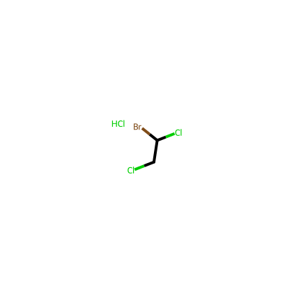 Cl.ClCC(Cl)Br